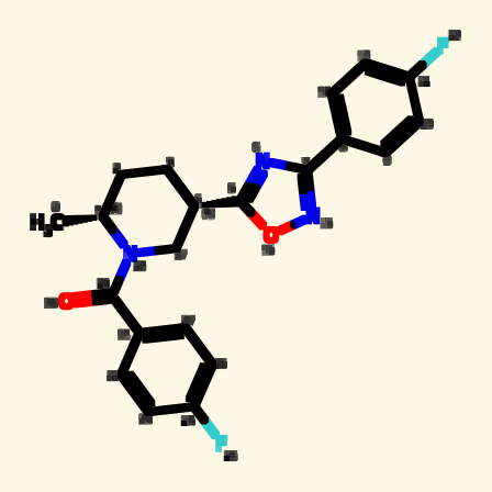 C[C@@H]1CC[C@H](c2nc(-c3ccc(F)cc3)no2)CN1C(=O)c1ccc(F)cc1